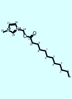 CCCCCCCCCCCC(=O)OC[n+]1ccn(C)c1